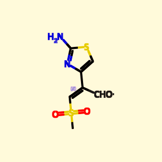 CS(=O)(=O)/C=C(\[C]=O)c1csc(N)n1